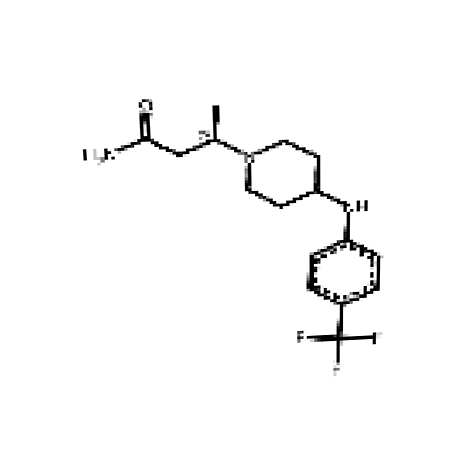 C[C@H](CC(N)=O)N1CCC(Nc2ccc(C(F)(F)F)cc2)CC1